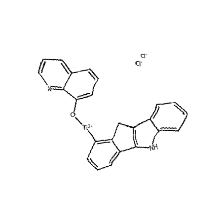 [Cl-].[Cl-].c1c[c]([Ti+2][O]c2cccc3cccnc23)c2c(c1)-c1[nH]c3ccccc3c1C2